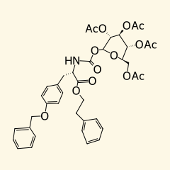 CC(=O)OC[C@H]1OC(OC(=O)N[C@@H](Cc2ccc(OCc3ccccc3)cc2)C(=O)OCCc2ccccc2)[C@H](OC(C)=O)[C@@H](OC(C)=O)[C@@H]1OC(C)=O